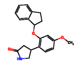 COc1ccc(C2CNC(=O)C2)c(OC2CCc3ccccc32)c1